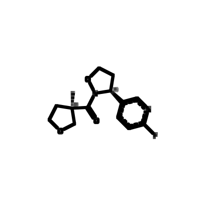 C[C@@]1(C(=O)N2OCC[C@H]2c2ccc(F)nc2)CCOC1